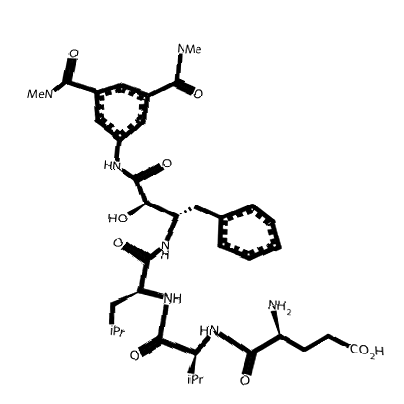 CNC(=O)c1cc(NC(=O)[C@H](O)[C@H](Cc2ccccc2)NC(=O)[C@H](CC(C)C)NC(=O)[C@@H](NC(=O)[C@@H](N)CCC(=O)O)C(C)C)cc(C(=O)NC)c1